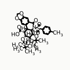 Cc1ccc(S(=O)(=O)N2C(=O)c3cc4c(cc3[C@H]3[C@@H](C(=O)O)[C@H](O[Si](C)(C)C(C)(C)C)[C@H]5OC(C)(C)O[C@H]5[C@@H]32)OCO4)cc1